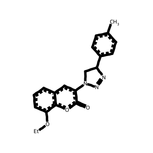 CCOc1cccc2cc(N3CC(c4ccc(C)cc4)N=N3)c(=O)oc12